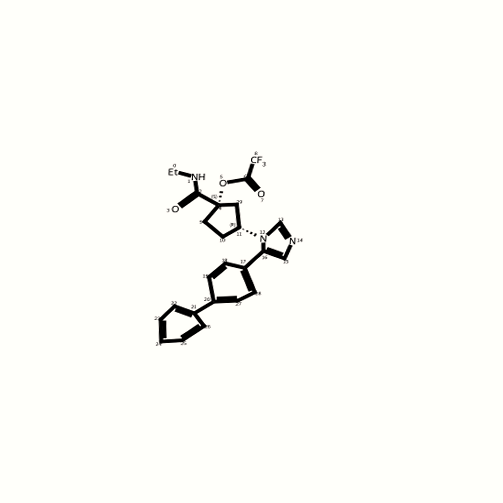 CCNC(=O)[C@]1(OC(=O)C(F)(F)F)CC[C@@H](n2cncc2-c2ccc(-c3ccccc3)cc2)C1